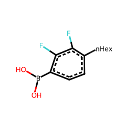 CCCCCCc1ccc(B(O)O)c(F)c1F